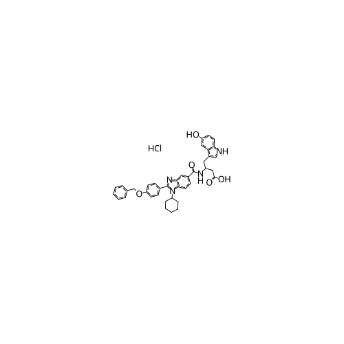 Cl.O=C(O)CC(Cc1c[nH]c2ccc(O)cc12)NC(=O)c1ccc2c(c1)nc(-c1ccc(OCc3ccccc3)cc1)n2C1CCCCC1